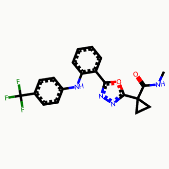 CNC(=O)C1(c2nnc(-c3ccccc3Nc3ccc(C(F)(F)F)cc3)o2)CC1